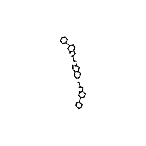 c1ccc(-c2ccc3cc(-c4nc5cc6cc7oc(-c8cc9ccc(-c%10ccccc%10)cc9s8)nc7cc6cc5o4)sc3c2)cc1